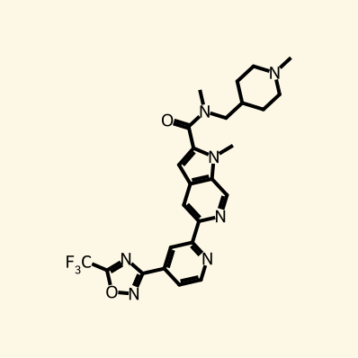 CN1CCC(CN(C)C(=O)c2cc3cc(-c4cc(-c5noc(C(F)(F)F)n5)ccn4)ncc3n2C)CC1